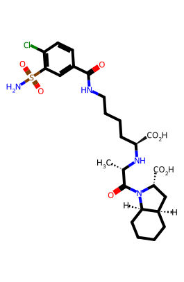 C[C@H](N[C@@H](CCCCNC(=O)c1ccc(Cl)c(S(N)(=O)=O)c1)C(=O)O)C(=O)N1[C@@H]2CCCC[C@@H]2C[C@H]1C(=O)O